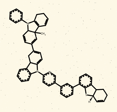 CC12C=C(C3=CC=C4C(C3)c3ccccc3N4c3ccc(-c4cccc(-c5cccc6c5S[C@H]5C=CCCC65)c4)cn3)C=CC1N(c1ccccc1)C1=C2C=CCC1